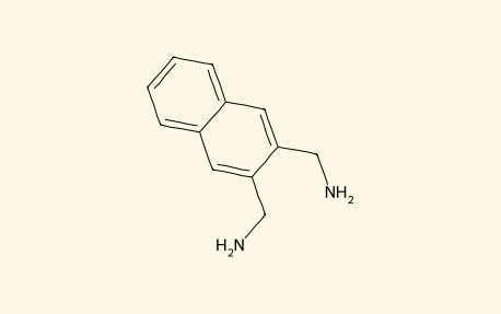 NCc1cc2ccccc2cc1CN